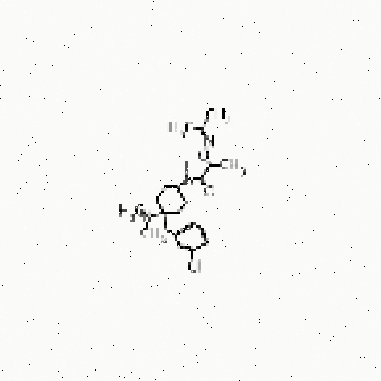 CC(C)=NOC(C)C(=O)NC1CCC(Cc2cccc(Cl)c2)(N(C)C)CC1